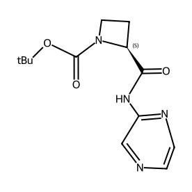 CC(C)(C)OC(=O)N1CC[C@H]1C(=O)Nc1cnccn1